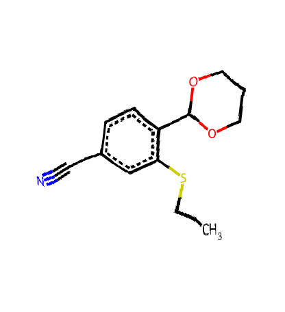 CCSc1cc(C#N)ccc1C1OCCCO1